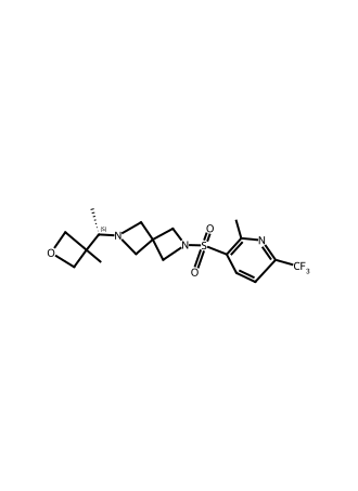 Cc1nc(C(F)(F)F)ccc1S(=O)(=O)N1CC2(CN([C@@H](C)C3(C)COC3)C2)C1